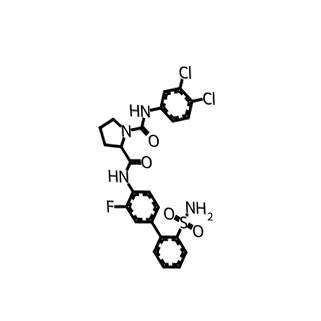 NS(=O)(=O)c1ccccc1-c1ccc(NC(=O)C2CCCN2C(=O)Nc2ccc(Cl)c(Cl)c2)c(F)c1